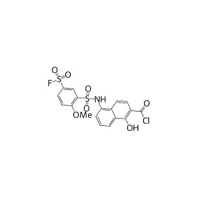 COc1ccc(S(=O)(=O)F)cc1S(=O)(=O)Nc1cccc2c(O)c(C(=O)Cl)ccc12